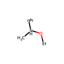 CCC[SiH](C)OCC